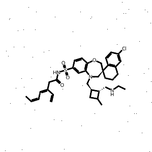 C=C/C(=C\C=C/C)CC(=O)NS(=O)(=O)c1ccc2c(c1)N(C[C@@H]1CC(C)[C@H]1CNCC)C[C@@]1(CCCc3cc(Cl)ccc31)CO2